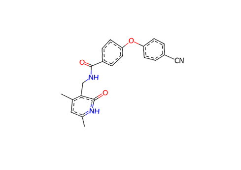 Cc1cc(C)c(CNC(=O)c2ccc(Oc3ccc(C#N)cc3)cc2)c(=O)[nH]1